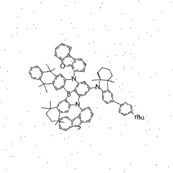 CC(C)(C)c1ccc(-c2ccc3c(c2)C2(C)CCCCC2(C)N3c2cc3c4c(c2)N(c2cccc5sc6ccccc6c25)c2cc5c(cc2B4c2cc4c(cc2N3c2cccc3c2oc2ccccc23)C(C)(C)c2ccccc2C4(C)C)C(C)(C)CCC5(C)C)cc1